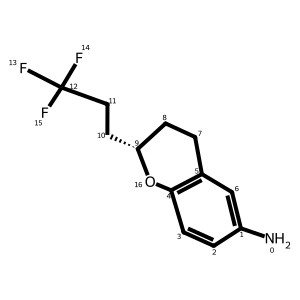 Nc1ccc2c(c1)CC[C@@H](CCC(F)(F)F)O2